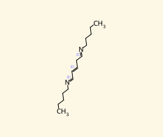 CCCCC/N=C/C=C/C/C=N/CCCCC